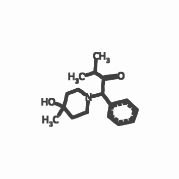 CC(C)C(=O)C(c1ccccc1)N1CCC(C)(O)CC1